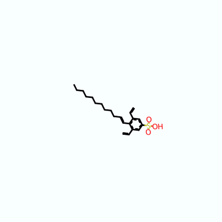 C=Cc1cc(S(=O)(=O)O)cc(C=C)c1C=CCCCCCCCCCC